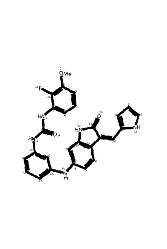 COc1cccc(NC(=O)Nc2cccc(Nc3ccc4c(c3)NC(=O)/C4=C\c3ccc[nH]3)c2)c1F